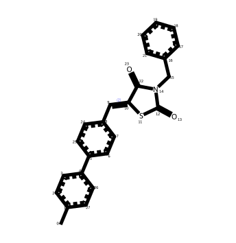 Cc1ccc(-c2ccc(/C=C3\SC(=O)N(Cc4ccccc4)C3=O)cc2)cc1